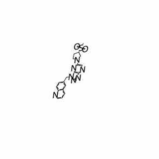 CS(=O)(=O)C1CCN(c2cnc3nnn(Cc4ccc5ncccc5c4)c3n2)C1